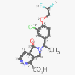 CC(c1ccc(OCC(F)F)c(Cl)c1)N1Cc2c(ccnc2C(=O)O)C1=O